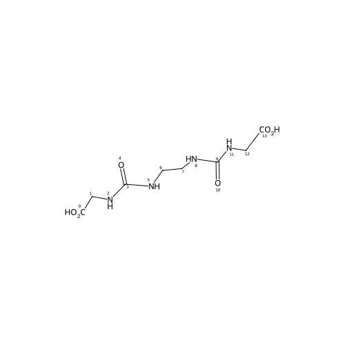 O=C(O)CNC(=O)NCCNC(=O)NCC(=O)O